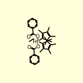 C[CH]=[Hf]([O]C(=O)c1ccccc1)([O]C(=O)c1ccccc1)([C]1=C(C)C(C)=C(C)C1(C)C)[C]1=C(C)C(C)=C(C)C1(C)C